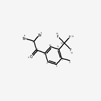 Cc1ccc(C(=O)C(Br)Br)cc1C(F)(F)F